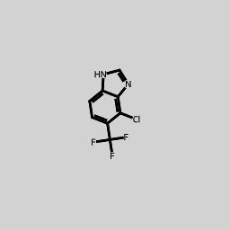 FC(F)(F)c1ccc2[nH]cnc2c1Cl